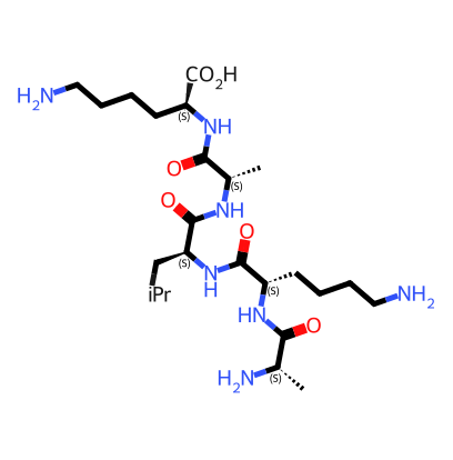 CC(C)C[C@H](NC(=O)[C@H](CCCCN)NC(=O)[C@H](C)N)C(=O)N[C@@H](C)C(=O)N[C@@H](CCCCN)C(=O)O